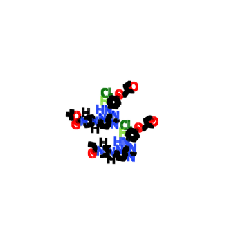 C=CC(=O)N1C[C@@H]2C[C@H]1CN2c1ccc2ncnc(Nc3ccc(OCC4CCOC4)c(Cl)c3F)c2n1.CC(C)(C)OC(=O)N1C[C@@H]2C[C@H]1CN2c1ccc2ncnc(Nc3ccc(OCC4CCOC4)c(Cl)c3F)c2n1